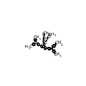 COCCOCCOCCC1(CCOCCOCCOC)c2cc(-c3ccc(N(c4ccc(C)cc4)c4ccc(C)cc4)cc3)ccc2-c2ccc(-c3ccc(N(c4ccc(C)cc4)c4ccc(C)cc4)cc3)cc21